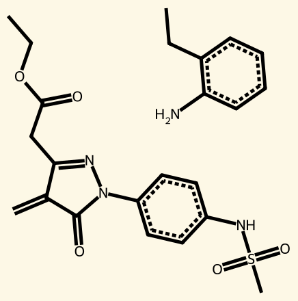 C=C1C(=O)N(c2ccc(NS(C)(=O)=O)cc2)N=C1CC(=O)OCC.CCc1ccccc1N